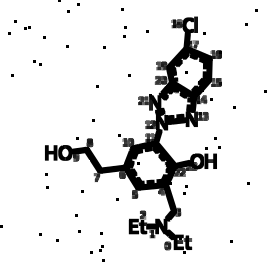 CCN(CC)Cc1cc(CCO)cc(-n2nc3ccc(Cl)cc3n2)c1O